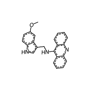 COc1ccc2[nH]cc(CNc3c4ccccc4nc4ccccc34)c2c1